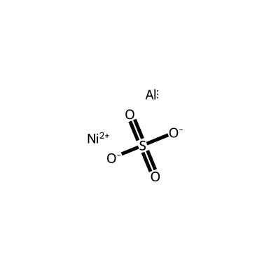 O=S(=O)([O-])[O-].[Al].[Ni+2]